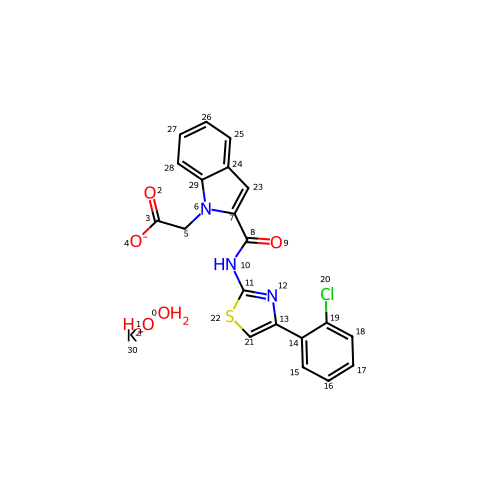 O.O.O=C([O-])Cn1c(C(=O)Nc2nc(-c3ccccc3Cl)cs2)cc2ccccc21.[K+]